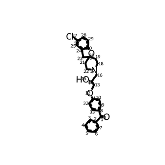 O=C(c1ccccc1)c1ccc(OC[C@@H](O)CN2CCC3(CC2)Cc2cc(Cl)ccc2O3)cc1